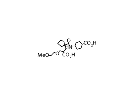 COCCOC[C@H](CC1(C(=O)N[C@H]2CC[C@@H](C(=O)O)CC2)CCCC1)C(=O)O